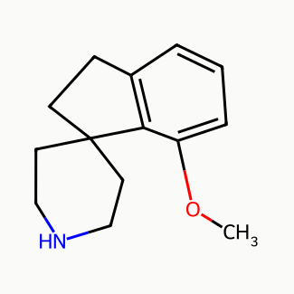 COc1cccc2c1C1(CCNCC1)CC2